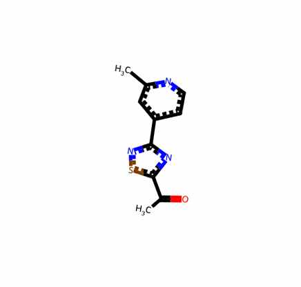 CC(=O)c1nc(-c2ccnc(C)c2)ns1